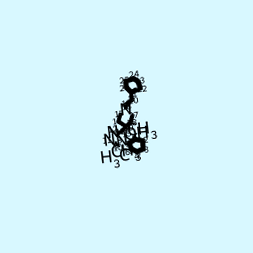 Cc1cccc(C)c1-n1c(C)nnc1C1(O)CCN(CCc2ccccc2)CC1